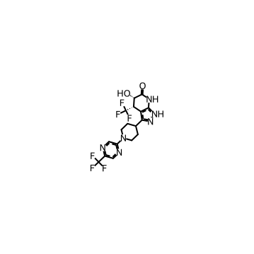 O=C1Nc2[nH]nc(C3CCN(c4cnc(C(F)(F)F)cn4)CC3)c2[C@H](C(F)(F)F)[C@@H]1O